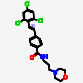 O=C(NCCCN1CCOCC1)c1ccc(/C=C/c2c(Cl)cc(Cl)cc2Cl)cc1